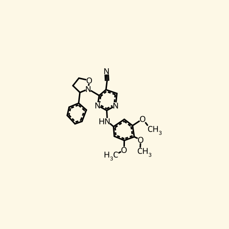 COc1cc(Nc2ncc(C#N)c(N3OCCC3c3ccccc3)n2)cc(OC)c1OC